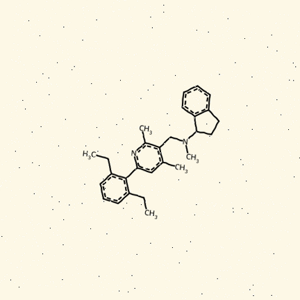 CCc1cccc(CC)c1-c1cc(C)c(CN(C)C2CCc3ccccc32)c(C)n1